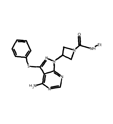 CCNC(=O)N1CC(n2nc(Sc3ccccc3)c3c(N)ncnc32)C1